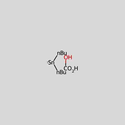 CCC[CH2][Sn][CH2]CCC.O=C(O)O